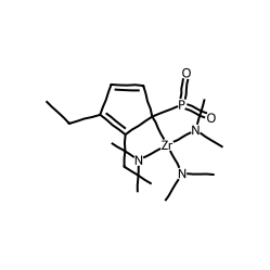 CCC1=C(CC)[C](P(=O)=O)([Zr]([N](C)C)([N](C)C)[N](C)C)C=C1